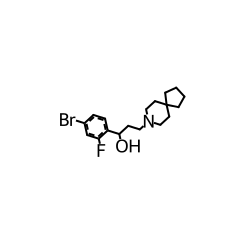 OC(CCN1CCC2(CCCC2)CC1)c1ccc(Br)cc1F